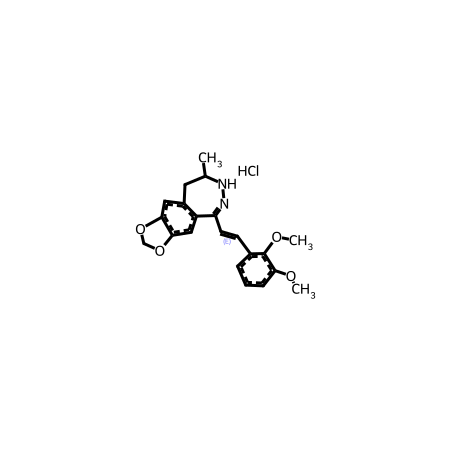 COc1cccc(/C=C/C2=NNC(C)Cc3cc4c(cc32)OCO4)c1OC.Cl